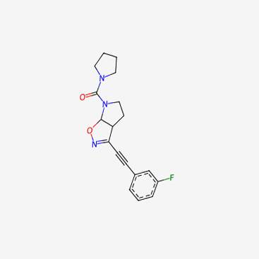 O=C(N1CCCC1)N1CCC2C(C#Cc3cccc(F)c3)=NOC21